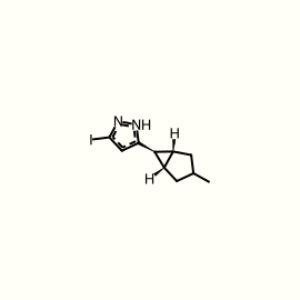 CC1C[C@@H]2[C@H](C1)[C@H]2c1cc(I)n[nH]1